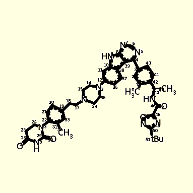 Cc1cc(-c2ncnc3[nH]c4cc(N5CCN(CCc6ccc(N7CCC(=O)NC7=O)c(C)c6)CC5)ccc4c23)ccc1[C@@H](C)NC(=O)c1nc(C(C)(C)C)no1